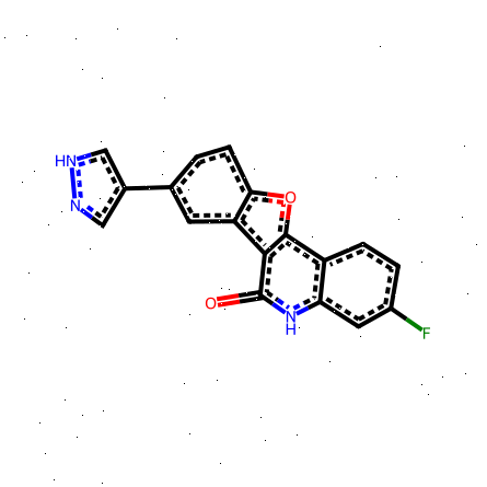 O=c1[nH]c2cc(F)ccc2c2oc3ccc(-c4cn[nH]c4)cc3c12